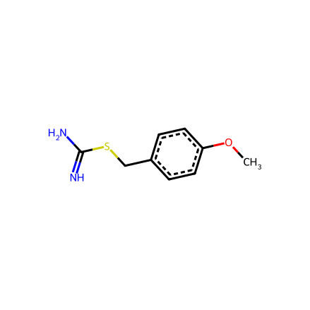 COc1ccc(CSC(=N)N)cc1